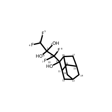 OC(O)(C(F)F)C(F)(F)C1(O)C2CC3CC(C2)CC1C3